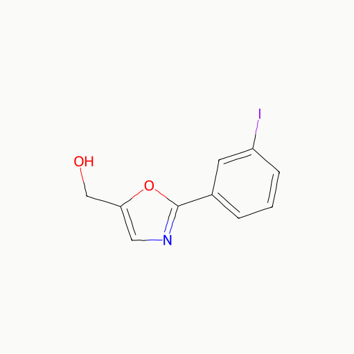 OCc1cnc(-c2cccc(I)c2)o1